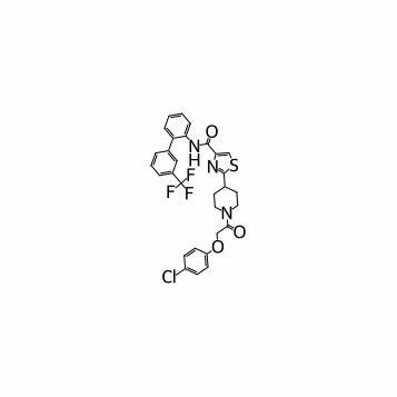 O=C(Nc1ccccc1-c1cccc(C(F)(F)F)c1)c1csc(C2CCN(C(=O)COc3ccc(Cl)cc3)CC2)n1